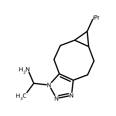 CC(C)C1C2CCc3nnn(C(C)N)c3CCC21